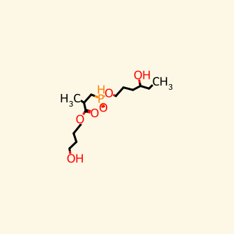 CCC(O)CCCO[PH](=O)CC(C)C(=O)OCCCCO